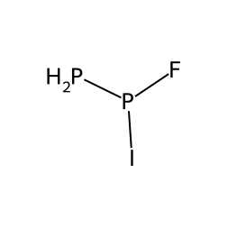 FP(P)I